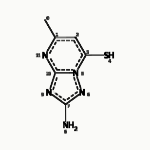 Cc1cc(S)n2nc(N)nc2n1